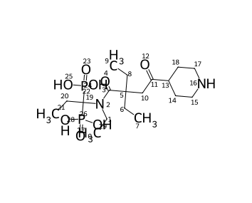 CCN(C(=O)C(CC)(CC)CC(=O)C1CCNCC1)C(CC)(P(=O)(O)O)P(=O)(O)O